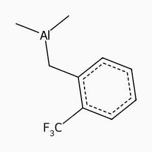 [CH3][Al]([CH3])[CH2]c1ccccc1C(F)(F)F